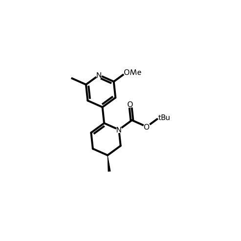 COc1cc(C2=CC[C@H](C)CN2C(=O)OC(C)(C)C)cc(C)n1